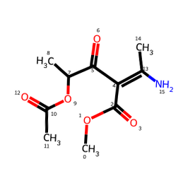 COC(=O)/C(C(=O)C(C)OC(C)=O)=C(/C)N